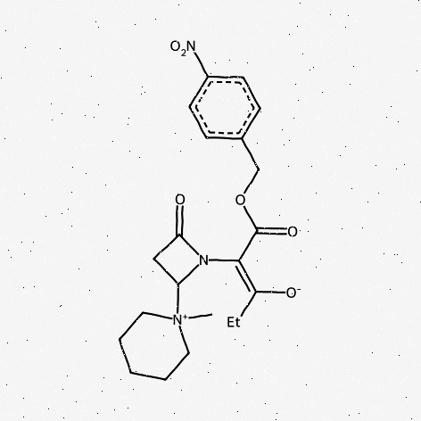 CCC([O-])=C(C(=O)OCc1ccc([N+](=O)[O-])cc1)N1C(=O)CC1[N+]1(C)CCCCC1